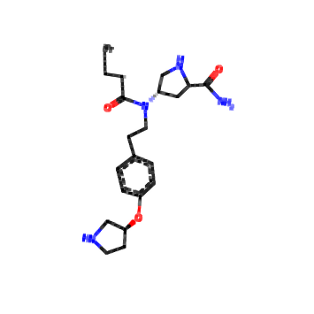 CC(C)C[CH]C(=O)N(CCc1ccc(O[C@H]2CCNC2)cc1)[C@@H]1CNC(C(N)=O)C1